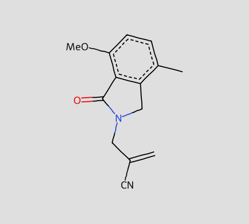 C=C(C#N)CN1Cc2c(C)ccc(OC)c2C1=O